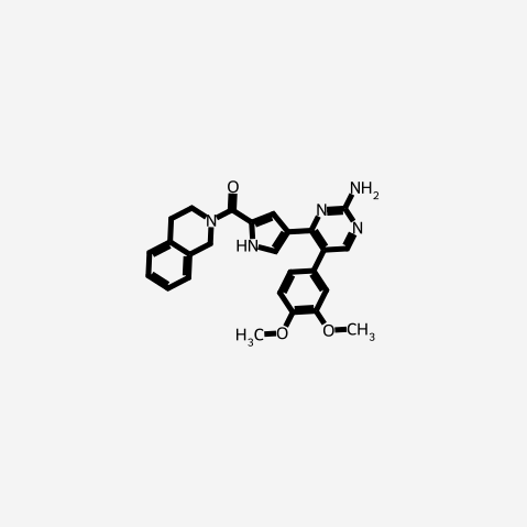 COc1ccc(-c2cnc(N)nc2-c2c[nH]c(C(=O)N3CCc4ccccc4C3)c2)cc1OC